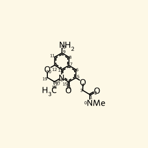 CNC(=O)COc1cc2cc(N)cc3c2n(c1=O)[C@H](C)CO3